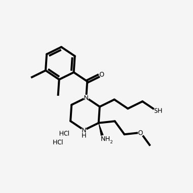 COCC[C@]1(N)NCCN(C(=O)c2cccc(C)c2C)C1CCCS.Cl.Cl